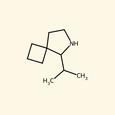 CC(C)C1NCCC12CCC2